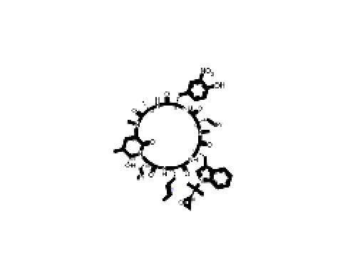 C/C=C/C[C@@H]1NC(=O)[C@H](CC(C)C)N2C(=O)[C@H](CC(C)[C@H]2O)N(C)C(=O)[C@H](C)NC(=O)[C@H](Cc2ccc(O)c([N+](=O)[O-])c2)NC(=O)[C@H](CC(C)C)N(C)C(=O)[C@H](Cc2cn(C(C)(C)[C@H]3CO3)c3ccccc23)NC1=O